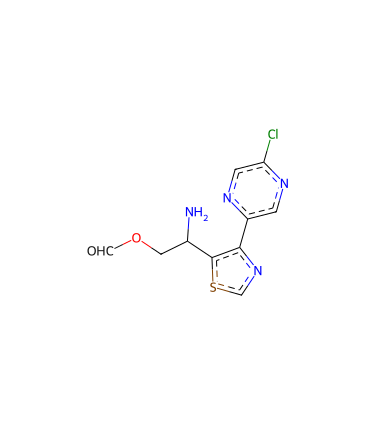 NC(COC=O)c1scnc1-c1cnc(Cl)cn1